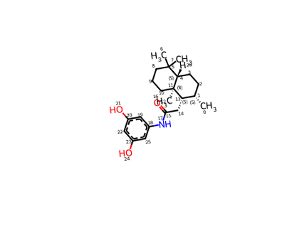 C[C@H]1CC[C@H]2C(C)(C)CCC[C@]2(C)[C@H]1CC(=O)Nc1cc(O)cc(O)c1